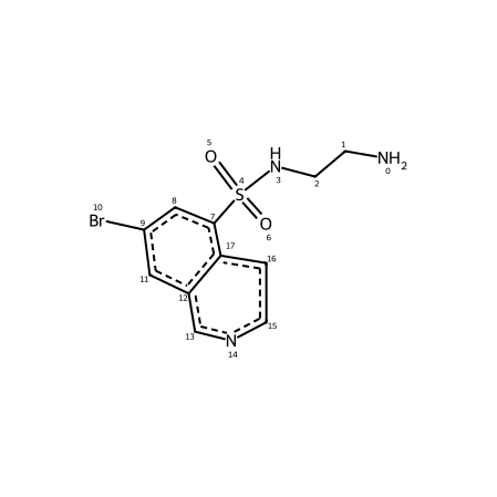 NCCNS(=O)(=O)c1cc(Br)cc2cnccc12